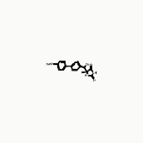 COc1ccc(-c2ccc(C(O)C3(C)NC(=O)NC3=O)cc2)cc1